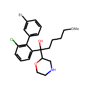 CCc1cccc(-c2c(Cl)cccc2C(O)(CCCCOC)C2CNCCO2)c1